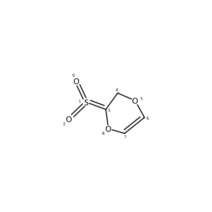 O=S(=O)=C1COC=CO1